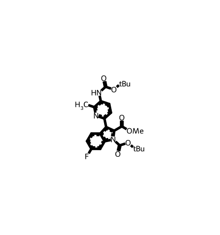 COC(=O)c1c(-c2ccc(NC(=O)OC(C)(C)C)c(C)n2)c2ccc(F)cc2n1C(=O)OC(C)(C)C